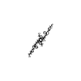 CCCCOCCOC(=O)CCCC(C)(C)c1cc(OCC)c(C(C)(C)CCCC(=O)OCCOCCCC)cc1OCC